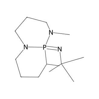 CC1CCCN2CCCN(C)P12=NC(C)(C)C